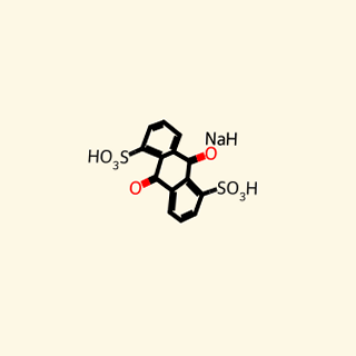 O=C1c2cccc(S(=O)(=O)O)c2C(=O)c2cccc(S(=O)(=O)O)c21.[NaH]